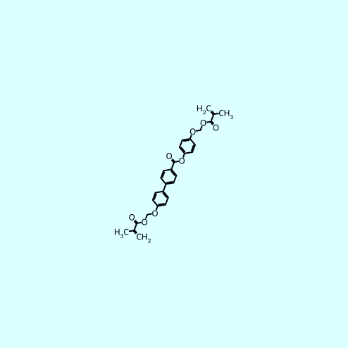 C=C(C)C(=O)OCOc1ccc(OC(=O)c2ccc(-c3ccc(OCOC(=O)C(=C)C)cc3)cc2)cc1